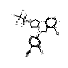 N#Cc1ccc(N(Cc2ccccc2Cl)[C@H]2CCN(S(=O)(=O)C(F)(F)F)C2)cc1Cl